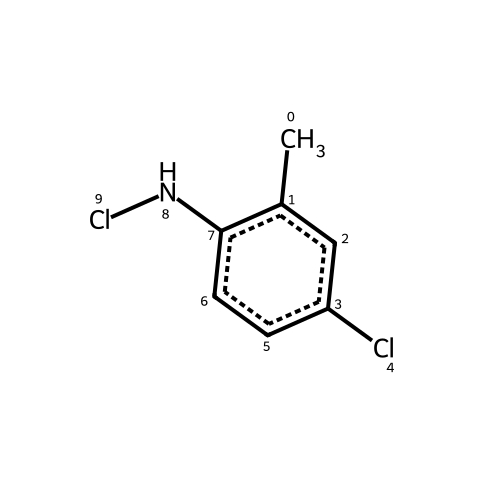 Cc1cc(Cl)ccc1NCl